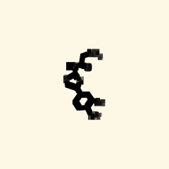 CCCc1ccc(-c2csc(NC(=O)CN)n2)cc1C(C)=O